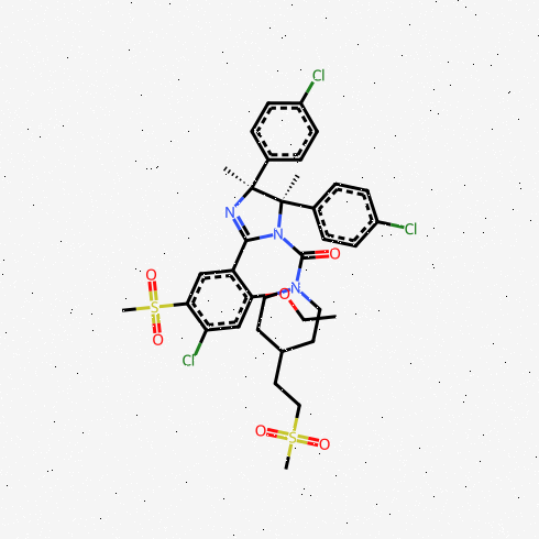 CCOc1cc(Cl)c(S(C)(=O)=O)cc1C1=N[C@@](C)(c2ccc(Cl)cc2)[C@@](C)(c2ccc(Cl)cc2)N1C(=O)N1CCC(CCS(C)(=O)=O)CC1